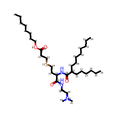 CCCCCCCCOC(=O)CCSCCC(NC(=O)C(CCCCCC)CCCCCCCC)C(=O)NCCN(C)C